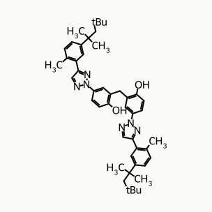 Cc1ccc(C(C)(C)CC(C)(C)C)cc1-c1cnn(-c2ccc(O)c(Cc3cc(-n4ncc(-c5cc(C(C)(C)CC(C)(C)C)ccc5C)n4)ccc3O)c2)n1